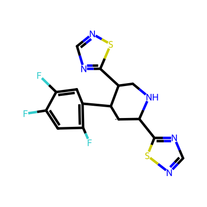 Fc1cc(F)c(C2[CH]C(c3ncns3)NCC2c2ncns2)cc1F